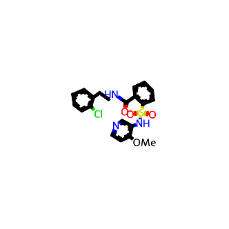 COc1ccncc1NS(=O)(=O)c1ccccc1C(=O)NCCc1ccccc1Cl